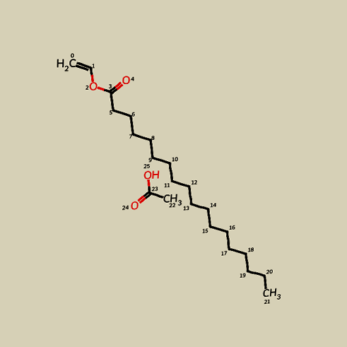 C=COC(=O)CCCCCCCCCCCCCCCCC.CC(=O)O